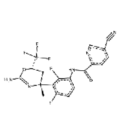 C[C@]1(c2c(F)ccc(NC(=O)c3ccc(C#N)cn3)c2F)C[C@@H](C(F)(F)F)OC(N)=N1